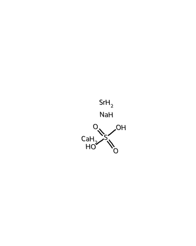 O=S(=O)(O)O.[CaH2].[NaH].[SrH2]